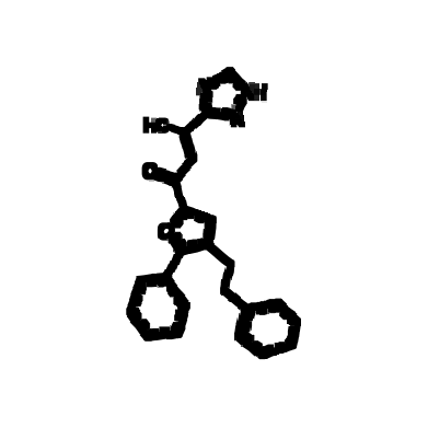 O=C(C=C(O)c1nc[nH]n1)c1cc(CCc2ccccc2)c(-c2ccccc2)o1